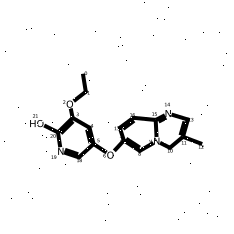 CCOc1cc(OC2=CN3CC(C)=CN=C3C=C2)cnc1O